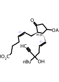 C#CC(O)(C/C=C/[C@H]1C(OC(C)=O)CC(=O)[C@@H]1C/C=C\CCCC(=O)O)CCCC